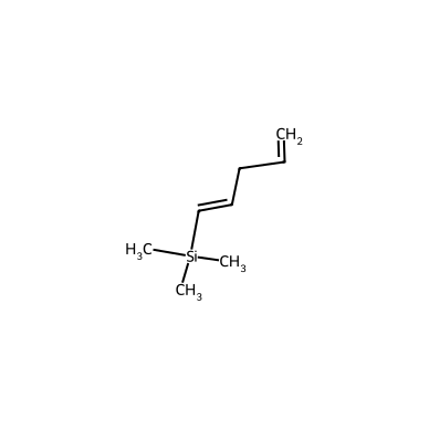 C=CCC=C[Si](C)(C)C